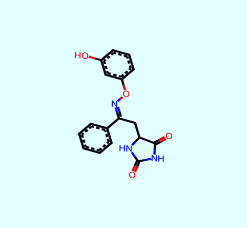 O=C1NC(=O)C(C/C(=N\Oc2cccc(O)c2)c2ccccc2)N1